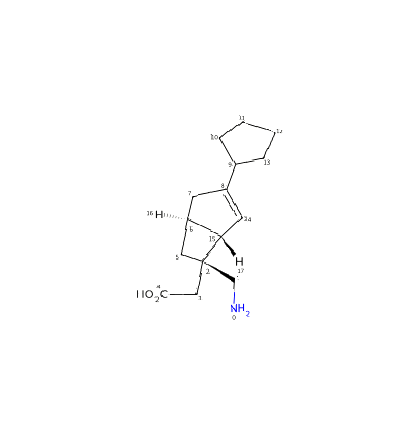 NC[C@@]1(CC(=O)O)C[C@H]2CC(C3CCCC3)=C[C@@H]21